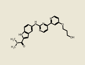 CN(C)C(=O)c1cc2cc(Nc3nccc(-c4cc(OCCCO)ccn4)n3)ccc2[nH]1